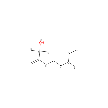 C=C(CCCC(C)CC)C(C)(C)O